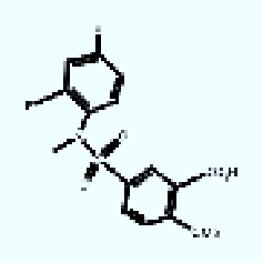 COc1ccc(S(=O)(=O)N(C)c2ccc(F)cc2F)cc1C(=O)O